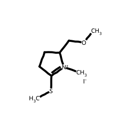 COCC1CCC(SC)=[N+]1C.[I-]